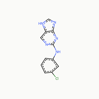 Clc1cccc(Nc2ncc3[nH]cnc3n2)c1